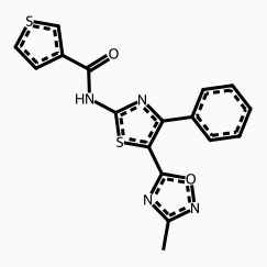 Cc1noc(-c2sc(NC(=O)c3ccsc3)nc2-c2ccccc2)n1